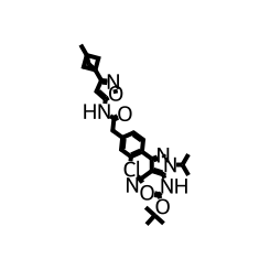 CC(C)n1nc(-c2ccc(CC(=O)Nc3cc(C45CC(C)(C4)C5)no3)cc2Cl)c(C#N)c1NC(=O)OC(C)(C)C